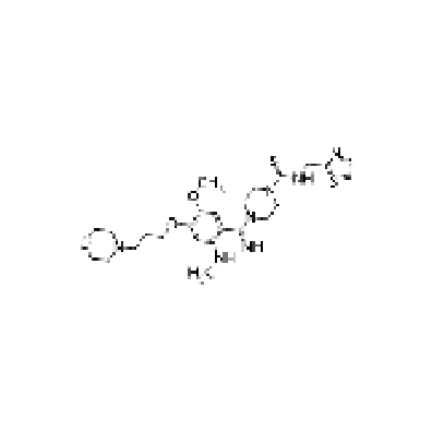 CNc1cc(OCCCN2CCOCC2)c(OC)cc1C(=N)N1CCN(C(=S)NCc2nccs2)CC1